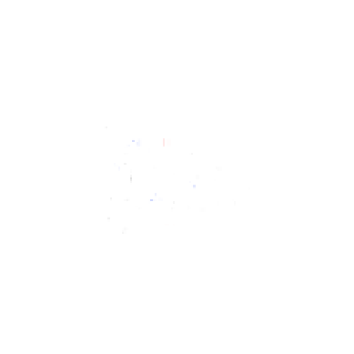 CC(C)C[C@@H](N)NC(=O)[C@@H]1CCCC[C@@H]1NC(=O)c1cc2ccccc2n1CCO